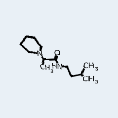 CC(C)CCNC(=O)C(C)N1CCCCC1